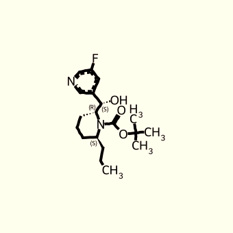 CCC[C@H]1CCC[C@H]([C@@H](O)c2cncc(F)c2)N1C(=O)OC(C)(C)C